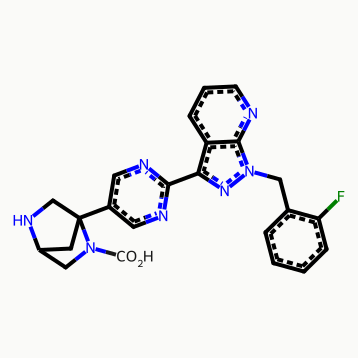 O=C(O)N1CC2CC1(c1cnc(-c3nn(Cc4ccccc4F)c4ncccc34)nc1)CN2